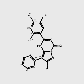 Cc1nn2c(=O)cc(-c3cc(F)c(Cl)nc3Cl)[nH]c2c1-c1ccccc1